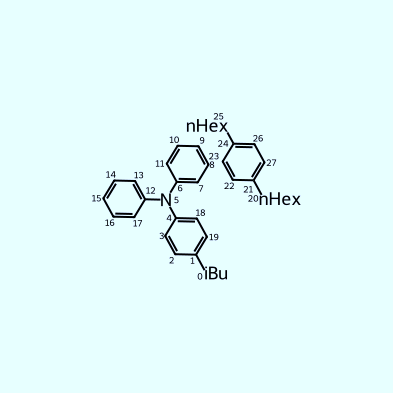 CCC(C)c1ccc(N(c2ccccc2)c2ccccc2)cc1.CCCCCCc1ccc(CCCCCC)cc1